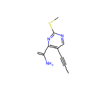 C=C(N)c1nc(SC)ncc1C#CC